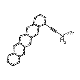 CCC[SiH2]C#Cc1cccc2cc3cc4cc5ccccc5cc4cc3cc12